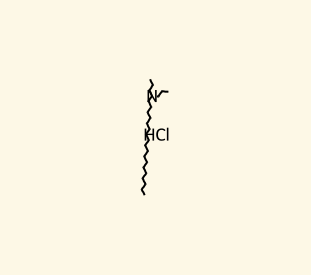 CCCCCCCCCCCCCCCCCCN(CCC)CCC.Cl